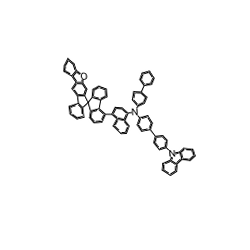 c1ccc(-c2ccc(N(c3ccc(-c4ccc(-n5c6ccccc6c6ccccc65)cc4)cc3)c3ccc(-c4cccc5c4-c4ccccc4C54c5ccccc5-c5cc6c(cc54)oc4ccccc46)c4ccccc34)cc2)cc1